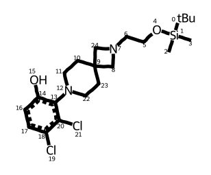 CC(C)(C)[Si](C)(C)OCCN1CC2(CCN(c3c(O)ccc(Cl)c3Cl)CC2)C1